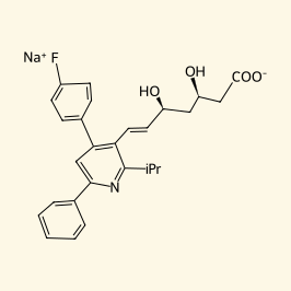 CC(C)c1nc(-c2ccccc2)cc(-c2ccc(F)cc2)c1/C=C/[C@@H](O)C[C@@H](O)CC(=O)[O-].[Na+]